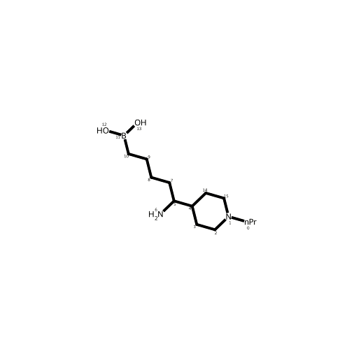 CCCN1CCC(C(N)CCCCB(O)O)CC1